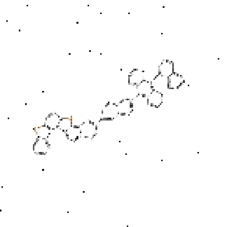 c1ccc2c(-c3c4ccccc4c(-c4ccc5cc(-c6ccc7ccc8c(sc9ccc%10sc%11ccccc%11c%10c98)c7c6)ccc5c4)c4ccccc34)cccc2c1